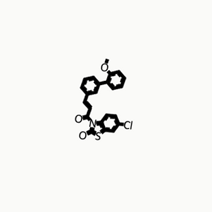 COc1ccccc1-c1cccc(C=CC(=O)n2c(=O)sc3cc(Cl)ccc32)c1